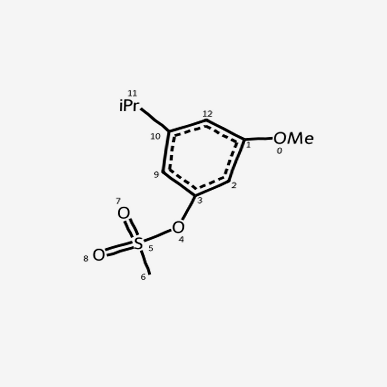 COc1cc(OS(C)(=O)=O)cc(C(C)C)c1